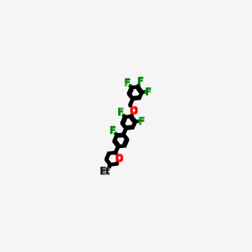 CCC1CCC(c2ccc(-c3cc(F)c(OCc4cc(F)c(F)c(F)c4)c(F)c3)c(F)c2)OC1